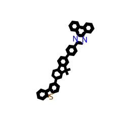 CC1(C)C2=C(CCC(c3ccc4sc5ccccc5c4c3)=C2)c2ccc(-c3ccc(-c4cnc5c6ccccc6c6ccccc6c5n4)cc3)cc21